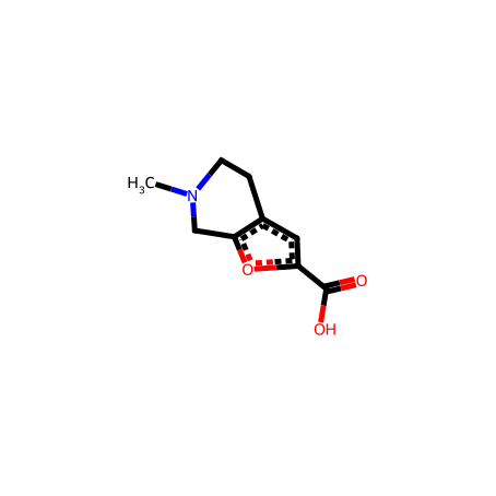 CN1CCc2cc(C(=O)O)oc2C1